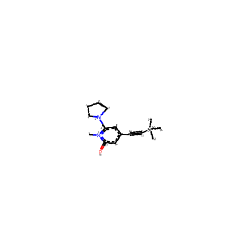 Cn1c(N2CCCC2)cc(C#C[Si](C)(C)C)cc1=O